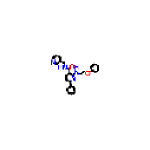 O=C(NCc1cccnc1)c1ccc(-c2ccccc2)nc1NCCOc1ccccc1